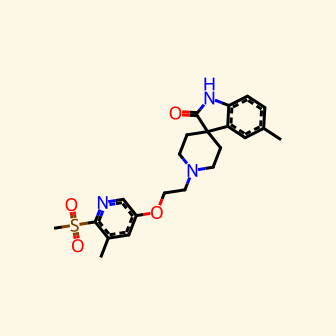 Cc1ccc2c(c1)C1(CCN(CCOc3cnc(S(C)(=O)=O)c(C)c3)CC1)C(=O)N2